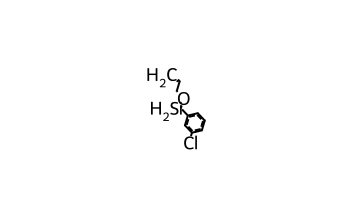 C=CCO[SiH2]c1cccc(Cl)c1